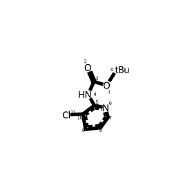 CC(C)(C)OC(=O)Nc1ncccc1Cl